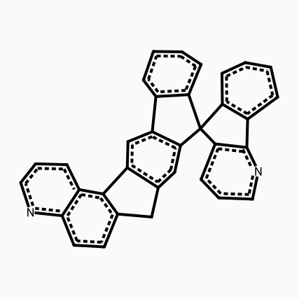 c1ccc2c(c1)-c1cc3c(cc1C21c2ccccc2-c2ncccc21)Cc1ccc2ncccc2c1-3